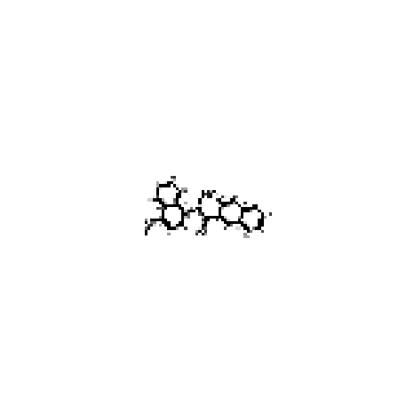 COc1ccc(NC(=O)c2cc3ccccc3cc2O)c2ccccc12